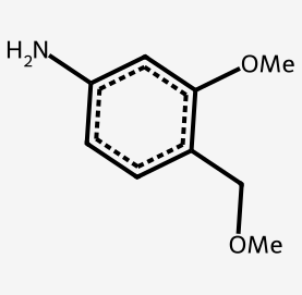 COCc1ccc(N)cc1OC